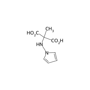 CC(Nn1cccc1)(C(=O)O)C(=O)O